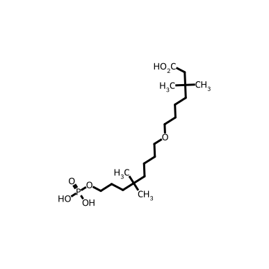 CC(C)(CCCCOCCCCC(C)(C)CC(=O)O)CCCOP(=O)(O)O